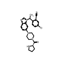 CC(c1ccc(Cl)cc1C#N)n1cnc2ccc(N3CCN(C(=O)[C@H]4CCCN4)CC3)cc21